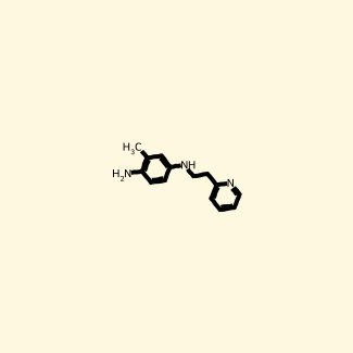 Cc1cc(NCCc2ccccn2)ccc1N